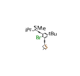 CSC(C#Cc1cc(C(C)(C)C)cc(C#CC2CC(C)(C)S2)c1Br)CC(C)C